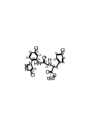 CC(C)(C)OC(=O)C(Cc1ccc(Cl)cc1)NCC(=O)Nc1cc(Cl)ccc1-n1cc(Cl)nn1